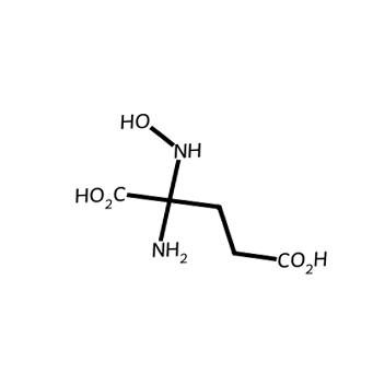 NC(CCC(=O)O)(NO)C(=O)O